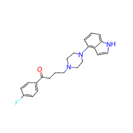 O=C(CCCN1CCN(c2cccc3[nH]ccc23)CC1)c1ccc(F)cc1